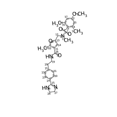 COc1cc(C)c(S(=O)(=O)N(C)Cc2cc(C(=O)NCCc3ccc(C4=NCCN4)cc3)c(C)o2)c(C)c1